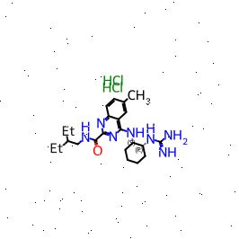 CCC(CC)CNC(=O)c1nc(N[C@H]2CCCC[C@H]2NC(=N)N)c2cc(C)ccc2n1.Cl.Cl